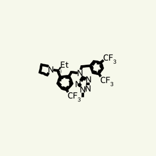 CC[C@@H](c1ccc(C(F)(F)F)cc1CN(Cc1cc(C(F)(F)F)cc(C(F)(F)F)c1)c1nnn(C)n1)N1CCCC1